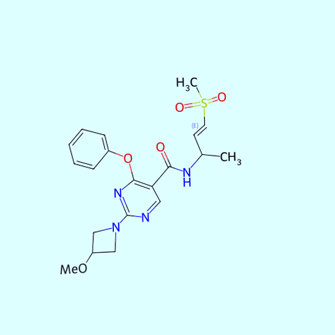 COC1CN(c2ncc(C(=O)NC(C)/C=C/S(C)(=O)=O)c(Oc3ccccc3)n2)C1